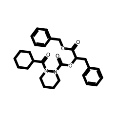 O=C(OCc1ccccc1)C(Cc1ccccc1)OC(=O)N1CCCCN1C(=O)C1CCCCC1